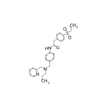 CCCN(Cc1ccc(NC(=O)Cc2ccc(S(=O)(=O)CC)cc2)cc1)Cc1ccccn1